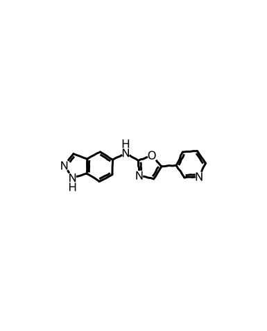 c1cncc(-c2cnc(Nc3ccc4[nH]ncc4c3)o2)c1